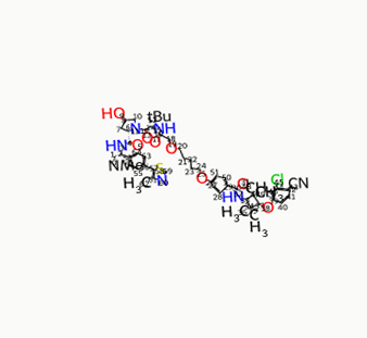 CNC[C@H](NC(=O)[C@@H]1C[C@@H](O)CN1C(=O)[C@@H](NC(=O)COCCCCCOc1ccc(C(=O)N[C@H]2C(C)(C)[C@H](Oc3ccc(C#N)c(Cl)c3)C2(C)C)cc1)C(C)(C)C)c1ccc(-c2scnc2C)cc1